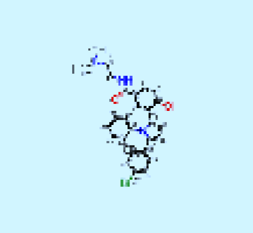 CN(C)CCNC(=O)c1ccc(O)c(-c2ccc(-c3ccc(Br)cc3)n2C2=C=C=CC=C2C(F)(F)F)c1